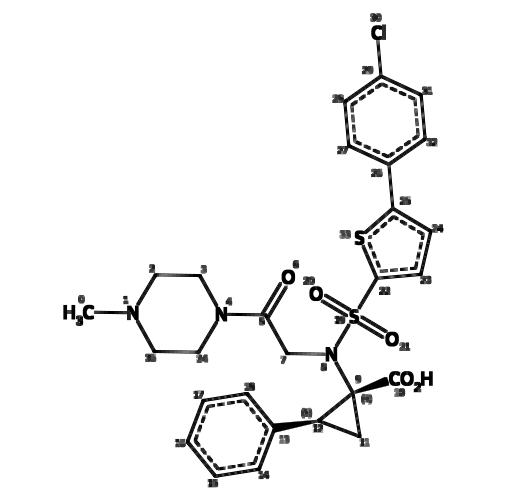 CN1CCN(C(=O)CN([C@]2(C(=O)O)C[C@H]2c2ccccc2)S(=O)(=O)c2ccc(-c3ccc(Cl)cc3)s2)CC1